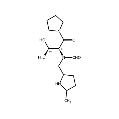 CC1CCC(CN(C=O)[C@H](C(=O)N2CCCC2)[C@@H](C)O)N1